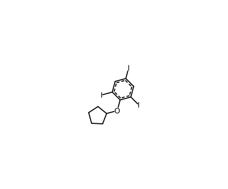 Ic1cc(I)c(OC2CCCC2)c(I)c1